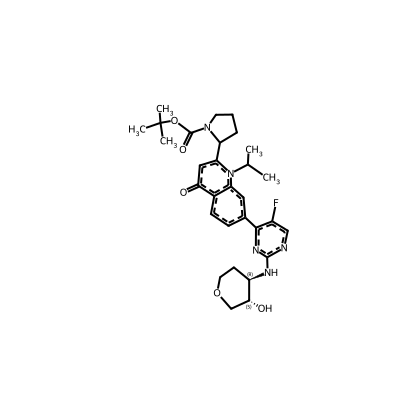 CC(C)n1c(C2CCCN2C(=O)OC(C)(C)C)cc(=O)c2ccc(-c3nc(N[C@@H]4CCOC[C@H]4O)ncc3F)cc21